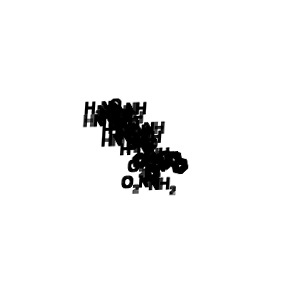 N=C(N)NC(NC(=O)C(NC(=N)N)NC(=O)C(NC(=N)N)NC(=O)C(NC(=N)N)NC(=O)C(NC(=O)C(O)N(Cc1c(O)ccc2ccccc12)c1cc(N)c([N+](=O)[O-])cc1[N+](=O)[O-])c1ccccc1)C(N)=O